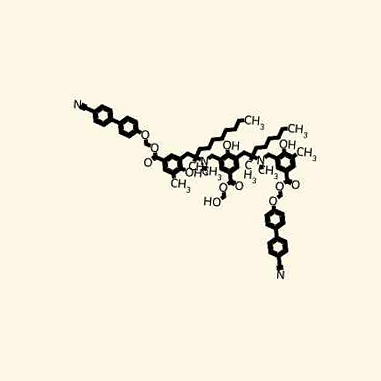 CCCCCCCCC(C)(Cc1cc(C(=O)OCOc2ccc(-c3ccc(C#N)cc3)cc2)cc(C)c1O)N(C)Cc1cc(C(=O)OCO)cc(CC(C)(CCCCCC)N(C)Cc2cc(C(=O)OCOc3ccc(-c4ccc(C#N)cc4)cc3)cc(C)c2O)c1O